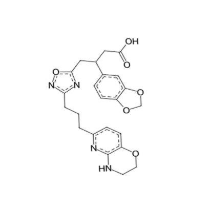 O=C(O)CC(Cc1nc(CCCc2ccc3c(n2)NCCO3)no1)c1ccc2c(c1)OCO2